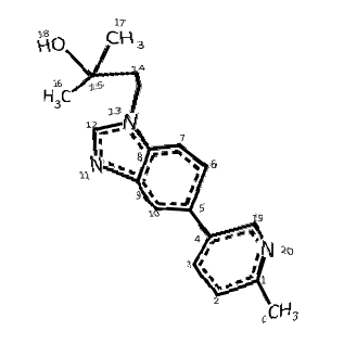 Cc1ccc(-c2ccc3c(c2)ncn3CC(C)(C)O)cn1